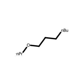 CC[CH]OCCCCCCC